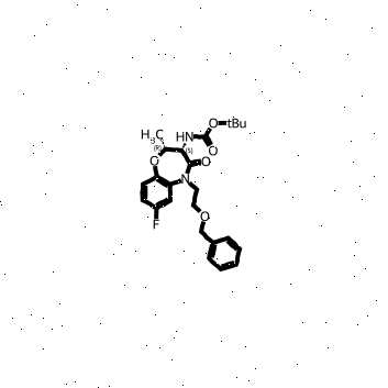 C[C@H]1Oc2ccc(F)cc2N(CCOCc2ccccc2)C(=O)[C@H]1NC(=O)OC(C)(C)C